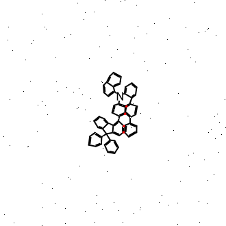 c1ccc(-c2ccc(-c3ccccc3N(c3ccc(-c4cccc5c4-c4ccccc4C5(c4ccccc4)c4ccccc4)cc3)c3cccc4ccccc34)cc2)cc1